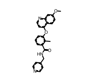 COc1ccc2c(Oc3cccc(C(=O)NCc4ccncc4)c3C)ccnc2c1